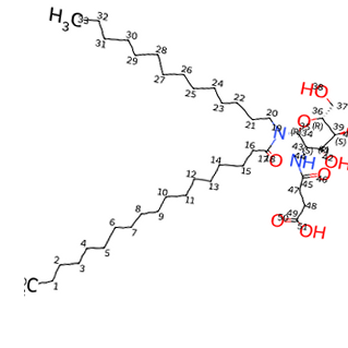 CCCCCCCCCCCCCCCCCC(=O)N(CCCCCCCCCCCCCC)[C@@H]1O[C@H](CO)[C@@H](O)[C@H](O)[C@@H]1NC(=O)CCC(=O)O